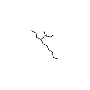 CCCCCCC(CCC)N(C)CC